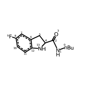 CCCCNC(=O)C1Cc2cc(F)ccc2N1